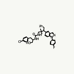 CC(C)CC(c1ccc2c(cnn2-c2ccc(F)cc2)c1)C(C)(C)CNC(=O)NC(CO)Cc1ccc(Cl)cc1